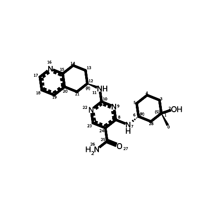 C[C@]1(O)CCC[C@@H](Nc2nc(N[C@@H]3CCc4ncccc4C3)ncc2C(N)=O)C1